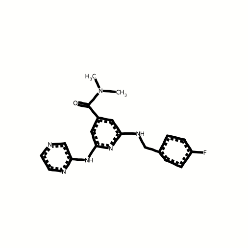 CN(C)C(=O)c1cc(NCc2ccc(F)cc2)nc(Nc2cnccn2)c1